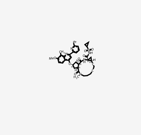 COc1ccc2c(O[C@@H]3C[C@H]4C(=O)N[C@]5(C(=O)NS(=O)(=O)C6CC6)C[C@H]5CCCCCCN(C)C(=O)[C@@H]4C3)cc(-c3cccc(C(C)C)n3)nc2c1C